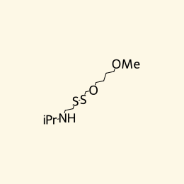 COCCCCOCSSCCNC(C)C